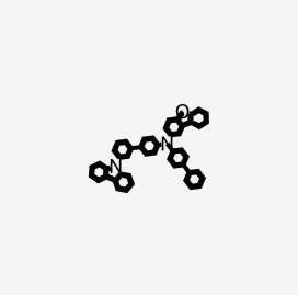 c1ccc(-c2ccc(N(c3ccc(-c4cccc(-n5c6ccccc6c6ccccc65)c4)cc3)c3ccc4oc5ccccc5c4c3)cc2)cc1